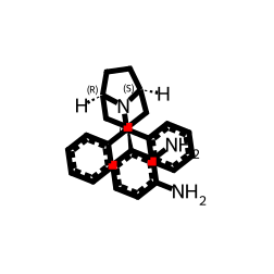 Nc1cccc([C@H]2C[C@H]3CC[C@@H](C2)N3C(c2ccccc2)c2ccccc2)c1N